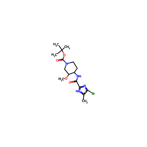 COC1CN(C(=O)OC(C)(C)C)CCC1NC(=O)c1nc(Br)c(C)[nH]1